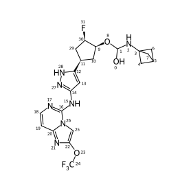 OC(NC12CC(C1)C2)O[C@H]1C[C@@H](c2cc(Nc3nccc4nc(OC(F)(F)F)cn34)n[nH]2)C[C@H]1F